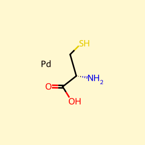 N[C@@H](CS)C(=O)O.[Pd]